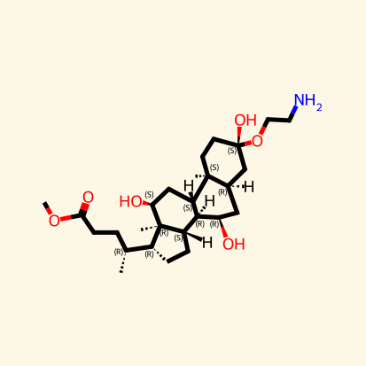 COC(=O)CC[C@@H](C)[C@H]1CC[C@H]2[C@@H]3[C@H](O)C[C@@H]4C[C@@](O)(OCCN)CC[C@]4(C)[C@H]3C[C@H](O)[C@]12C